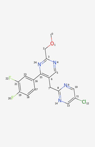 COCc1ncc(Cc2ncc(Cl)cn2)c(-c2ccc(F)c(F)c2)n1